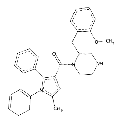 COc1ccccc1CC1CNCCN1C(=O)c1cc(C)n(C2=CC=CCC2)c1-c1ccccc1